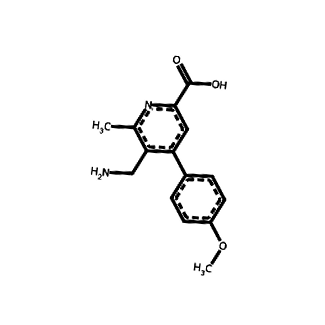 COc1ccc(-c2cc(C(=O)O)nc(C)c2CN)cc1